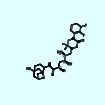 CC(C)[C@H](C[C@H](O)[C@@H](N)CN1CC(=O)N(C2=C(F)C(F)CC=C2)CC1(C)C)C(=O)NC1CCC2(O)CC3CC1(C3)C2